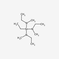 CC[N](C)[Sn]([CH2]C)([N](C)CC)[N](C)CC